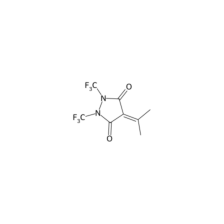 CC(C)=C1C(=O)N(C(F)(F)F)N(C(F)(F)F)C1=O